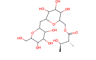 C[C@@H](O)[C@@H](C)C(=O)OCC1OC(CC2OC(CO)C(O)C(O)C2O)C(O)C(O)C1O